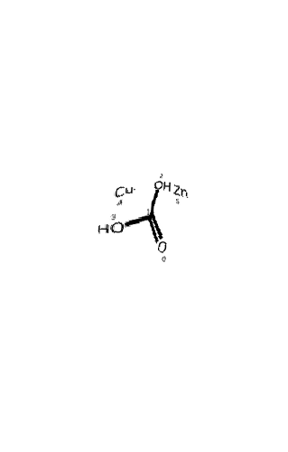 O=C(O)O.[Cu].[Zn]